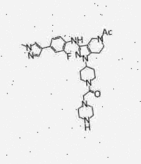 CC(=O)N1CCc2c(c(Nc3ccc(-c4cnn(C)c4)cc3F)nn2C2CCN(C(=O)CN3CCNCC3)CC2)C1